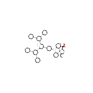 c1ccc(-c2cc(-c3ccccc3)cc(-c3cc(-c4ccc(N5c6ccccc6C6(c7ccoc7-c7occc76)c6c5ccc5sc7ccccc7c65)cc4)cc(-c4cc(-c5ccccc5)cc(-c5ccccc5)c4)n3)c2)cc1